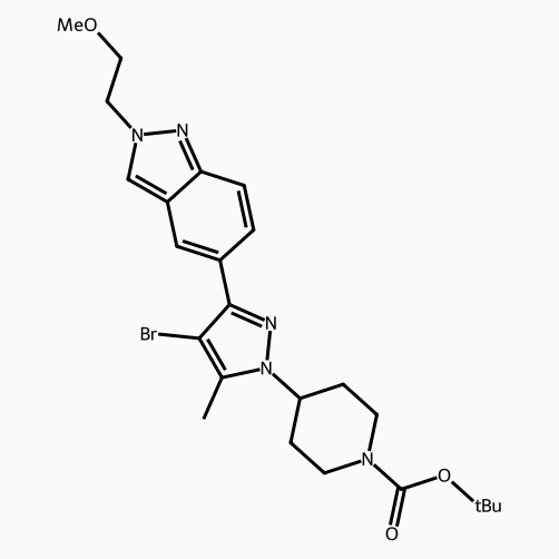 COCCn1cc2cc(-c3nn(C4CCN(C(=O)OC(C)(C)C)CC4)c(C)c3Br)ccc2n1